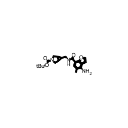 Cc1cc(C(=O)NCC2C3CN(C(=O)OC(C)(C)C)CC23)c2occc2c1N